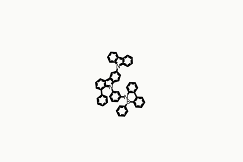 c1ccc(B2c3ccccc3-c3ccccc3N2c2cccc(-n3c4ccc(-n5c6ccccc6c6ccccc65)cc4c4cccc(-c5ccccc5)c43)c2)cc1